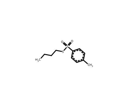 [CH2]CCCSS(=O)(=O)c1ccc(C)cc1